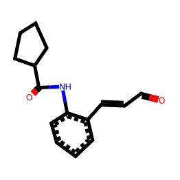 O=[C]/C=C/c1ccccc1NC(=O)C1CCCC1